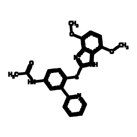 COc1ccc(OC)c2[nH]c(Sc3ccc(NC(C)=O)cc3-c3ccccn3)nc12